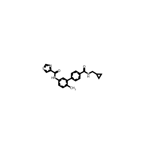 Cc1ccc(NC(=O)c2cscn2)cc1-c1ccc(C(=O)NCC2CC2)cc1